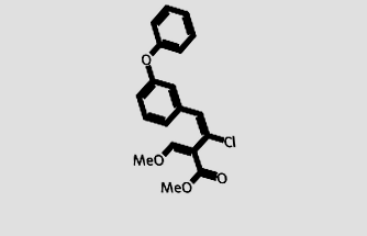 CO/C=C(C(=O)OC)/C(Cl)=C\c1cccc(Oc2ccccc2)c1